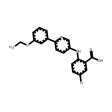 CCOc1cccc(-c2ccc(Nc3ccc(Cl)cc3C(=O)O)cn2)c1